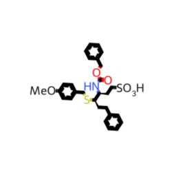 COc1ccc(CS[C@H](CCc2ccccc2)[C@H](CCS(=O)(=O)O)NC(=O)OCc2ccccc2)cc1